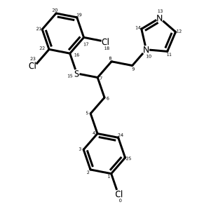 Clc1ccc(CCC(CCn2ccnc2)Sc2c(Cl)cccc2Cl)cc1